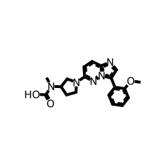 COc1ccccc1-c1cnc2ccc(N3CCC(N(C)C(=O)O)C3)nn12